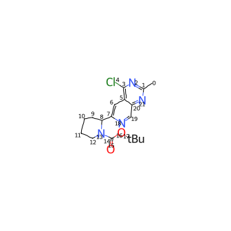 Cc1nc(Cl)c2cc(C3CCCCN3C(=O)OC(C)(C)C)ncc2n1